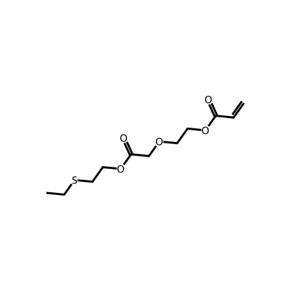 C=CC(=O)OCCOCC(=O)OCCSCC